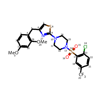 COc1ccc(Cc2csc(N3CCN(S(=O)(=O)c4cc(C(F)(F)F)ccc4Cl)CC3)n2)c(OC)c1